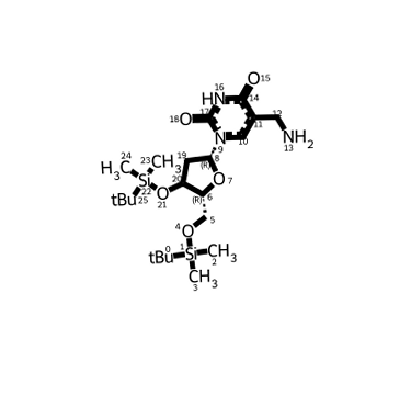 CC(C)(C)[Si](C)(C)OC[C@H]1O[C@@H](n2cc(CN)c(=O)[nH]c2=O)CC1O[Si](C)(C)C(C)(C)C